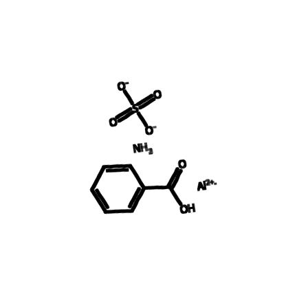 N.O=C(O)c1ccccc1.O=S(=O)([O-])[O-].[Al+2]